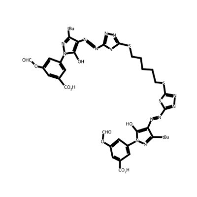 CC(C)(C)c1nn(-c2cc(OC=O)cc(C(=O)O)c2)c(O)c1N=Nc1nnc(SCCCCCSc2nnc(N=Nc3c(C(C)(C)C)nn(-c4cc(OC=O)cc(C(=O)O)c4)c3O)s2)s1